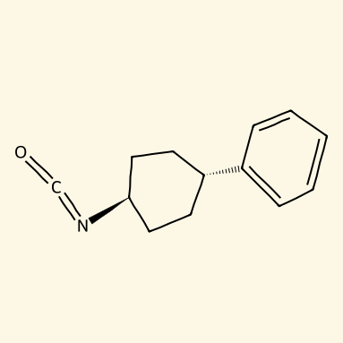 O=C=N[C@H]1CC[C@H](c2ccccc2)CC1